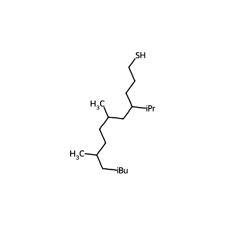 CCC(C)CC(C)CCC(C)CC(CCCS)C(C)C